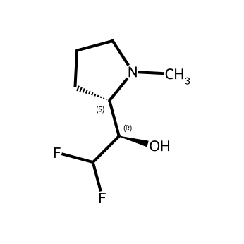 CN1CCC[C@H]1[C@@H](O)C(F)F